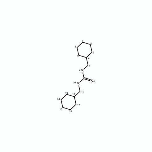 S=C(SCC1CCCCC1)SCC1CCCCC1